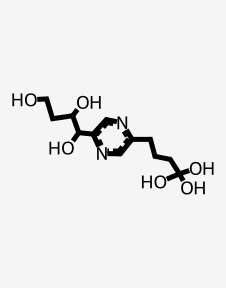 OCCC(O)C(O)c1cnc(CCCC(O)(O)O)cn1